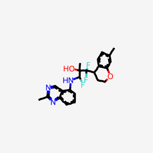 Cc1ccc2c(c1)OCCC2C(F)(F)C(C)(O)C(F)Nc1cccc2nc(C)ncc12